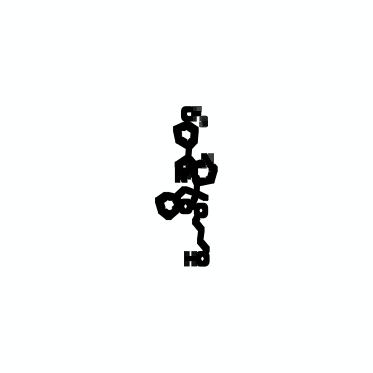 CC(Cc1ccccc1)(C(=O)OCCCCO)c1ccnc2c(-c3ccc(C(F)(F)F)cc3)cnn12